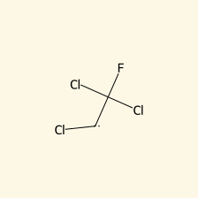 FC(Cl)(Cl)[CH]Cl